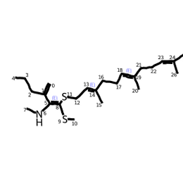 C=C(CCC)/C(NC)=C(/SC)SC/C=C(\C)CC/C=C(\C)CCC=C(C)C